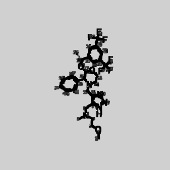 COCCN(C)Cc1[nH]nnc1CN1CCO[C@H](O[C@H](C)c2cc(C(F)(F)F)cc(C(F)(F)F)c2)[C@@H]1c1ccccc1